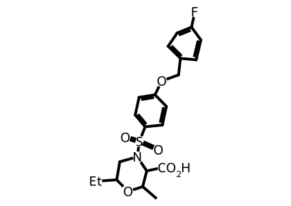 CCC1CN(S(=O)(=O)c2ccc(OCc3ccc(F)cc3)cc2)C(C(=O)O)C(C)O1